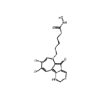 O=C(CCCCCN1C=C(Cl)C(Cl)=CC2=C3NCSC=C3C(=O)C21)NO